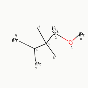 CC(C)O[SiH2]C(C)(C)C(C(C)C)C(C)C